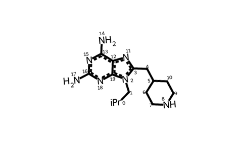 CC(C)Cn1c(CC2CCNCC2)nc2c(N)nc(N)nc21